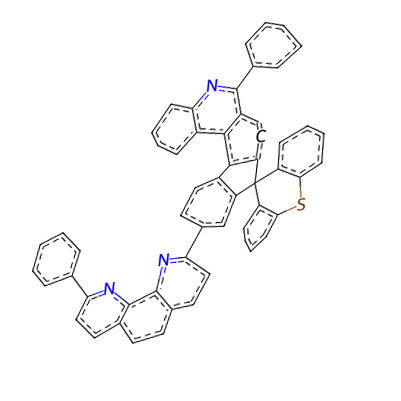 c1ccc(-c2ccc3ccc4ccc(-c5ccc6c(c5)C5(c7ccccc7Sc7ccccc75)c5ccc7c(-c8ccccc8)nc8ccccc8c7c5-6)nc4c3n2)cc1